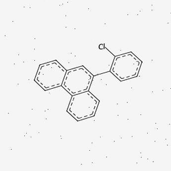 Clc1cc[c]cc1-c1cc2ccccc2c2ccccc12